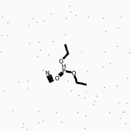 C#N.CCO[PH](=O)OCC